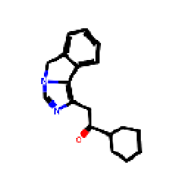 O=C(Cc1ncn2c1-c1ccccc1C2)C1CCCCC1